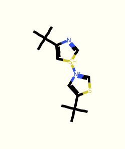 CC(C)(C)C1=C[SH]([n+]2csc(C(C)(C)C)c2)C=N1